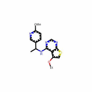 CCOc1csc2ncnc(NC(C)c3ccc(OC)nc3)c12